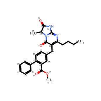 CCCCc1nc2n(c(=O)c1Cc1ccc(-c3ccccc3)c(C(=O)OC)c1)C(C)C(=O)N2